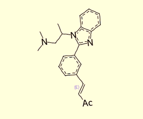 CC(=O)/C=C/c1cccc(-c2nc3ccccc3n2C(C)CN(C)C)c1